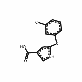 O=C(O)c1c[nH]c(Sc2cccc(Cl)c2)c1